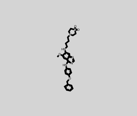 COc1cc2c(Nc3ccc(OCc4ccccc4)cc3)ncnc2cc1NCCCCN1CCS(=O)(=O)CC1